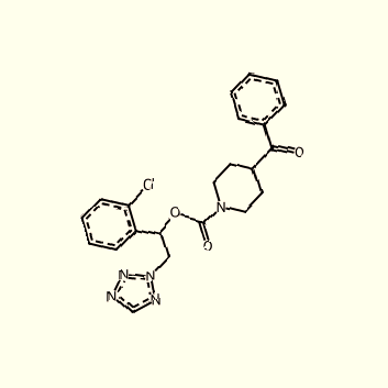 O=C(c1ccccc1)C1CCN(C(=O)OC(Cn2ncnn2)c2ccccc2Cl)CC1